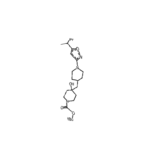 CC(C)C(C)c1cc(N2CCC(CC3(O)CCN(C(=O)OC(C)(C)C)CC3)CC2)no1